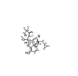 C=C([C@H]1C[C@@]23CC[C@]1(OC)[C@@H]1Oc4c(O)ccc5c4[C@@]12CCN(CC1CC1)[C@@H]3C5)C(C)(C)C